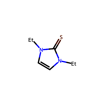 CCn1ccn(CC)c1=S